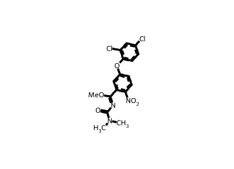 COC(=NC(=O)N(C)C)c1cc(Oc2ccc(Cl)cc2Cl)ccc1[N+](=O)[O-]